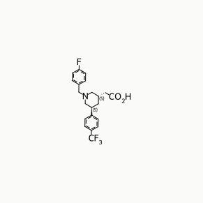 O=C(O)C[C@@H]1C[C@@H](c2ccc(C(F)(F)F)cc2)CN(Cc2ccc(F)cc2)C1